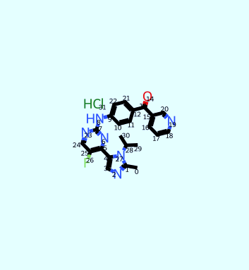 Cc1ncc(-c2nc(Nc3ccc(C(=O)c4cccnc4)cc3)ncc2F)n1C(C)C.Cl